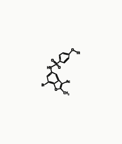 CCOc1ccc(S(=O)(=O)Nc2cc(Br)c3oc(C)c(C(C)=O)c3c2)cc1